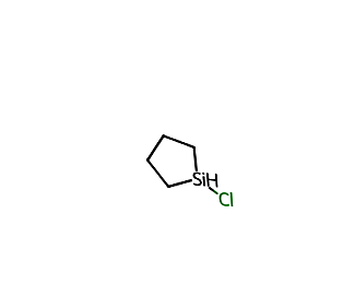 Cl[SiH]1CCCC1